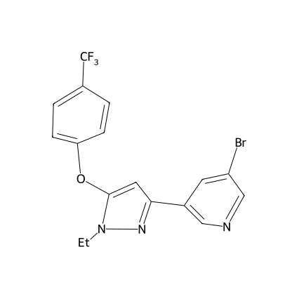 CCn1nc(-c2cncc(Br)c2)cc1Oc1ccc(C(F)(F)F)cc1